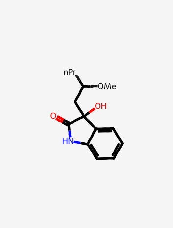 CCCC(CC1(O)C(=O)Nc2ccccc21)OC